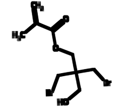 C=C(C)C(=O)OCC(CO)(CBr)CBr